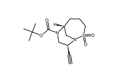 C#C[C@H]1CN(C(=O)OC(C)(C)C)[C@@H]2CCCS(=O)(=O)N1C2